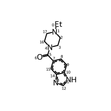 CCN1CCN(C(=O)c2ccc3[nH]cnc3c2)CC1